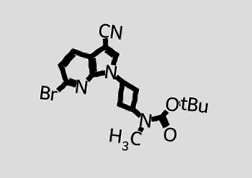 CN(C(=O)OC(C)(C)C)C1CC(n2cc(C#N)c3ccc(Br)nc32)C1